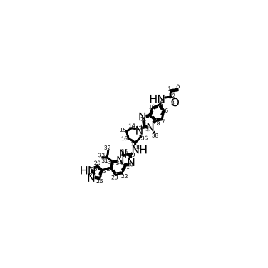 C=CC(=O)Nc1ccc2c(c1)nc(N1CCCC(Nc3nc4ccc(-c5cn[nH]c5)c(C(C)C)n4n3)C1)n2C